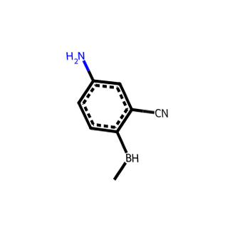 CBc1ccc(N)cc1C#N